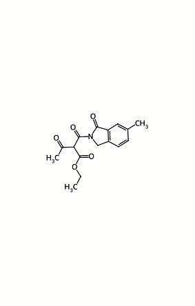 CCOC(=O)C(C(C)=O)C(=O)N1Cc2ccc(C)cc2C1=O